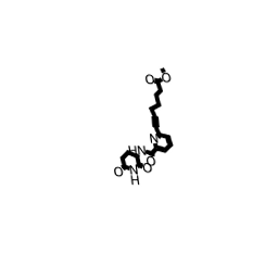 COC(=O)CCCCC#Cc1cccc(C(=O)NC2CCC(=O)NC2=O)n1